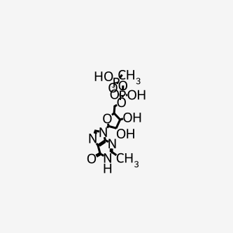 Cc1nc2c(ncn2C2OC(COP(=O)(O)OP(C)(=O)O)C(O)C2O)c(=O)[nH]1